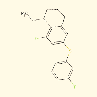 CC[C@@H]1CCCc2cc(Sc3cccc(F)c3)cc(F)c21